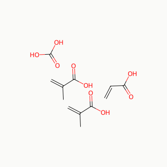 C=C(C)C(=O)O.C=C(C)C(=O)O.C=CC(=O)O.O=C(O)O